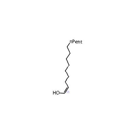 CCCCCCCCCCCC/C=C\O